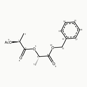 CC(=O)O[C@@H](C)C(=O)O[C@@H](C)C(=O)OCc1ccccc1